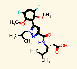 COc1c(F)cc(F)c(OC)c1-c1cc(C(=O)N[C@H](CC(=O)O)CC(C)C)nn1CC(C)C